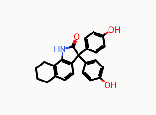 O=C1Nc2c(ccc3c2CCCC3)C1(c1ccc(O)cc1)c1ccc(O)cc1